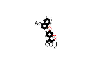 CC(=O)c1ccc(Oc2ccc3c(c2)OCC[C@H]3CC(=O)O)c2ccccc12